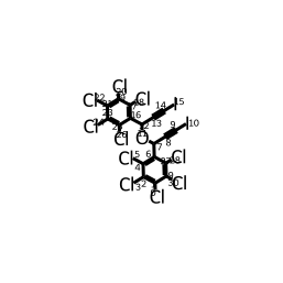 Clc1c(Cl)c(Cl)c(C(C#CI)OC(C#CI)c2c(Cl)c(Cl)c(Cl)c(Cl)c2Cl)c(Cl)c1Cl